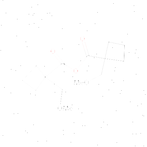 COCC1(C(=O)OC(=O)C2(COC)CCC2)CCC1